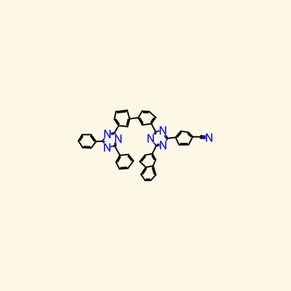 N#Cc1ccc(-c2nc(-c3cccc(-c4cccc(-c5nc(-c6ccccc6)nc(-c6ccccc6)n5)c4)c3)nc(-c3ccc4ccccc4c3)n2)cc1